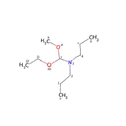 CCCN(CCC)C(OC)OCC